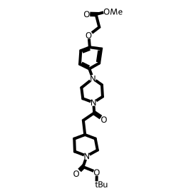 COC(=O)COc1ccc(N2CCN(C(=O)CC3CCN(C(=O)OC(C)(C)C)CC3)CC2)cc1